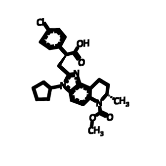 COC(=O)N1c2ccc3c(nc(C[C@H](C(=O)O)c4ccc(Cl)cc4)n3C3CCCC3)c2CC[C@@H]1C